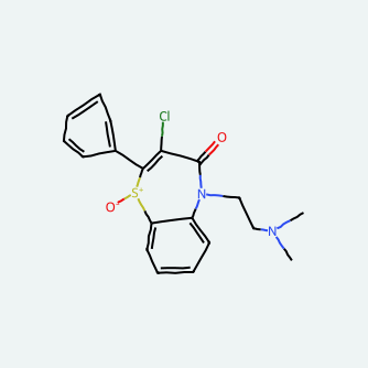 CN(C)CCN1C(=O)C(Cl)=C(c2ccccc2)[S+]([O-])c2ccccc21